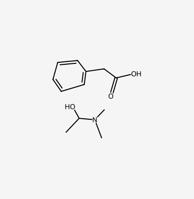 CC(O)N(C)C.O=C(O)Cc1ccccc1